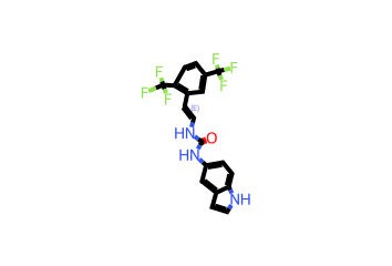 O=C(N/C=C/c1cc(C(F)(F)F)ccc1C(F)(F)F)Nc1ccc2[nH]ccc2c1